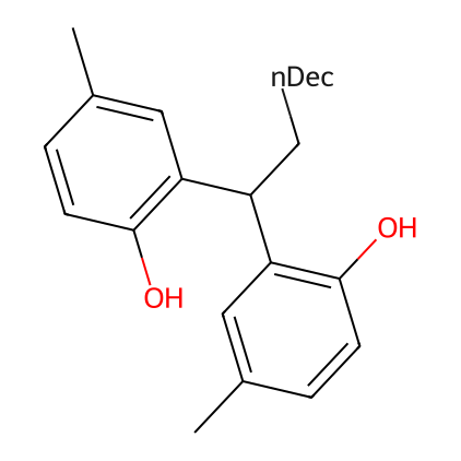 CCCCCCCCCCCC(c1cc(C)ccc1O)c1cc(C)ccc1O